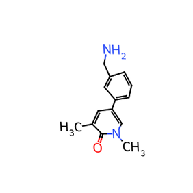 Cc1cc(-c2cccc(CN)c2)cn(C)c1=O